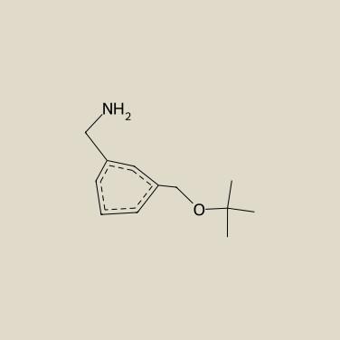 CC(C)(C)OCc1cccc(CN)c1